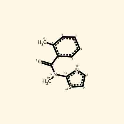 Cc1ccccc1C(=O)N(C)c1nccs1